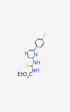 CCOC(=O)NC(=S)Nc1cncc(-c2ccc(F)cc2)n1